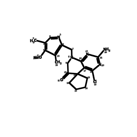 COc1c(C)cnc(CN2CC(=O)C3(CCCC3)c3c(Cl)nc(N)nc32)c1C